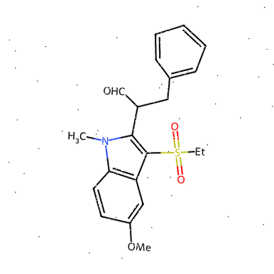 CCS(=O)(=O)c1c(C(C=O)Cc2ccccc2)n(C)c2ccc(OC)cc12